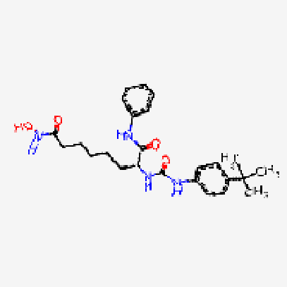 CC(C)(C)c1ccc(NC(=O)N[C@@H](CCCCCC(=O)NO)C(=O)Nc2ccccc2)cc1